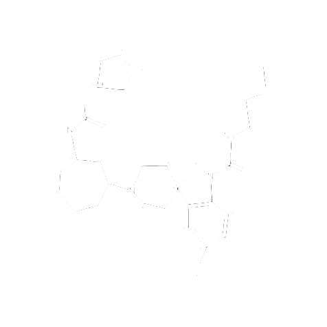 COCCOC(=O)N1CC2(CCN(C3CCCCC(NC(=O)O[C@@H]4CCOC4)C3)CC2)c2cc(F)ccc21